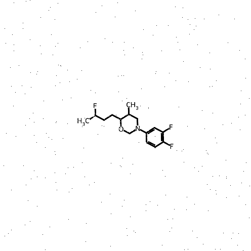 CC1CN(c2ccc(F)c(F)c2)COC1CC[C@@H](C)F